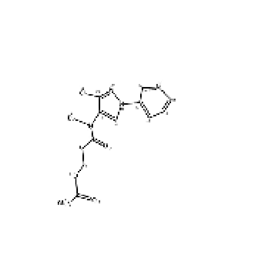 CCN(C(=O)CCOC(=O)NC)c1cn(-c2cccnc2)nc1Cl